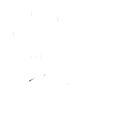 CCCCC[C@@H]1CC[C@@](C(=O)O)(C2CCCCC2)C(c2cc(F)c(F)c(F)c2)C1